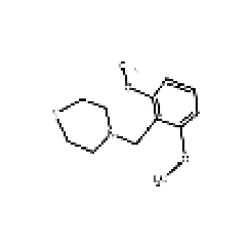 COc1cccc(OC)c1CN1CC[N]CC1